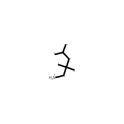 CC(C)CC(C)(C)C[SiH3]